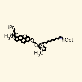 CCCCCCCC/C=C\CCCCCCCCOCC(CN1CCCC1C)OCCOC1CC[C@@]2(C)C(=CCC3C4CCC([C@H](C)CCCC(C)C)[C@@]4(C)CCC32)C1